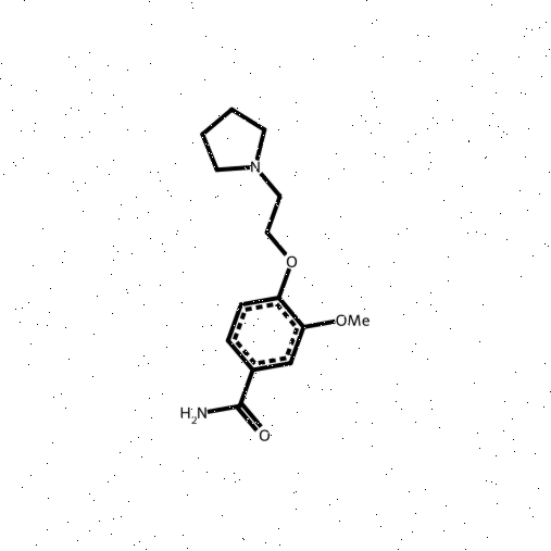 COc1cc(C(N)=O)ccc1OCCN1CCCC1